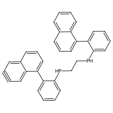 c1cc2cccc(-c3ccccc3PCCPc3ccccc3-c3cccc4ccccc34)c2cc#1